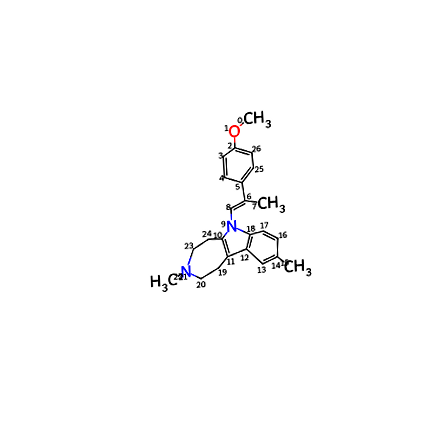 COc1ccc(C(C)=Cn2c3c(c4cc(C)ccc42)CCN(C)CC3)cc1